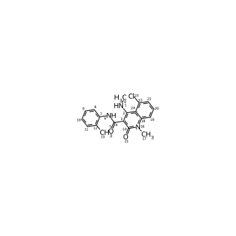 CNc1c(C(=O)Nc2ccccc2C)c(=O)n(C)c2cccc(Cl)c12